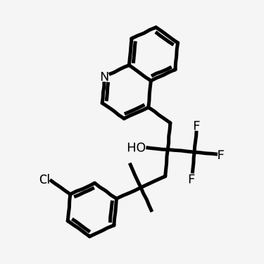 CC(C)(CC(O)(Cc1ccnc2ccccc12)C(F)(F)F)c1cccc(Cl)c1